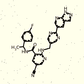 CC(NC(=O)c1cc(C#N)cnc1NCc1cnc(-c2cnc3[nH]ncc3c2)nc1)c1ccc(F)cc1